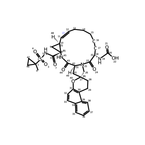 CC1(S(=O)(=O)NC(=O)[C@@]23C[C@H]2/C=C\CCCCC[C@H](NC(=O)O)C(=O)N2C[C@@]4(CCc5c(ccc6ccccc56)O4)C[C@H]2C(=O)N3)CC1